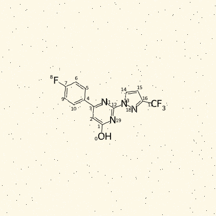 Oc1cc(-c2ccc(F)cc2)nc(-n2ccc(C(F)(F)F)n2)n1